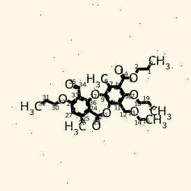 CCCOC(=O)c1c(C)c2c(c(COCC)c1OCCC)OC(=O)c1c(C)cc(OCCC)c(C=O)c1O2